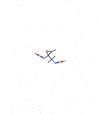 CC1CC1(N=C=O)C(C)(C)N=C=O